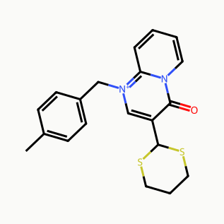 Cc1ccc(C[n+]2cc(C3SCCCS3)c(=O)n3ccccc32)cc1